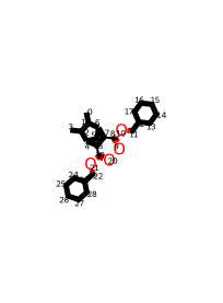 CC1C(C)C2CC1[C@@H](C(=O)OCC1CCCCC1)[C@H]2C(=O)OCC1CCCCC1